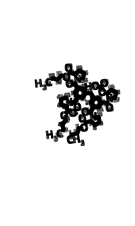 CCCCOC(=O)C1CCCN1C(=O)c1cc(Cc2cc(C(=O)N3CCCC3C(=O)OCCCC)cc(C(=O)N3CCCC3C(=O)OCCCC)c2)cc(C(=O)N2CCCC2OC(=O)O)c1